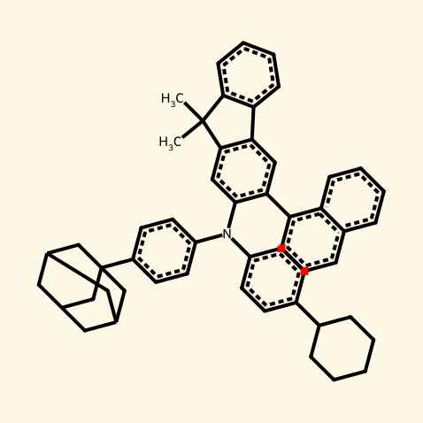 CC1(C)c2ccccc2-c2cc(-c3cccc4ccccc34)c(N(c3ccc(C4CCCCC4)cc3)c3ccc(C45CC6CC(CC(C6)C4)C5)cc3)cc21